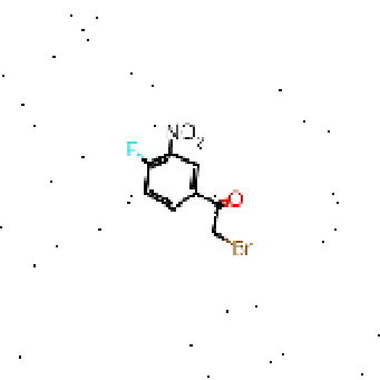 O=C(CBr)c1ccc(F)c([N+](=O)[O-])c1